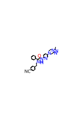 Cc1nnc2n1CCN(c1ccc(NC(=O)[C@H](NCCc3ccc(C#N)cc3)c3ccccc3)nc1)C2